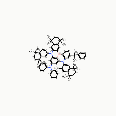 Cc1cc2c(cc1N1c3cc(C(C)(C)c4ccccc4)ccc3B3c4cc5c(cc4N(c4ccc6c(c4)C(C)(C)CCC6(C)C)c4cc(N(c6ccccc6)c6ccccc6)cc1c43)C(C)(C)CCC5(C)C)C(C)(C)CCC2(C)C